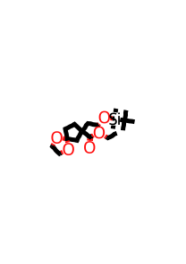 CCOC(=O)C1(CCO[Si](C)(C)C(C)(C)C)CCC2(C1)OCCO2